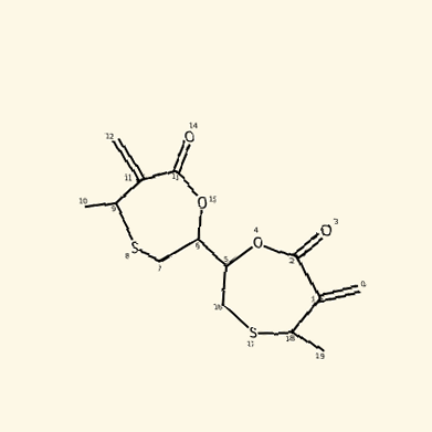 C=C1C(=O)OC(C2CSC(C)C(=C)C(=O)O2)CSC1C